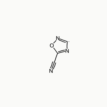 N#Cc1n[c]no1